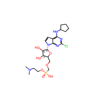 CN(C)CCOP(=O)(O)COCC1O[C@@H](n2ccc3c(NC4CCCC4)nc(Cl)nc32)[C@H](O)[C@@H]1O